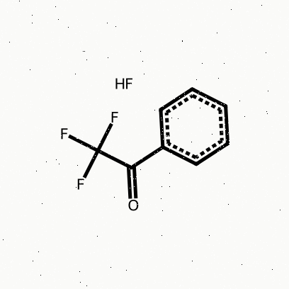 F.O=C(c1ccccc1)C(F)(F)F